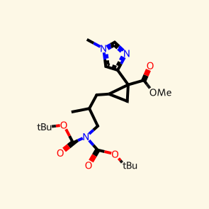 COC(=O)C1(c2cn(C)cn2)CC1CC(C)CN(C(=O)OC(C)(C)C)C(=O)OC(C)(C)C